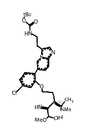 CN/C(C)=C(/CCOc1cc(Cl)ccc1-c1ccc2ncc(CCNC(=O)OC(C)(C)C)n2c1)C(=N)C(O)OC